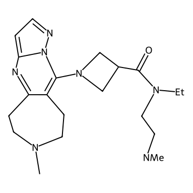 CCN(CCNC)C(=O)C1CN(c2c3c(nc4ccnn24)CCN(C)CC3)C1